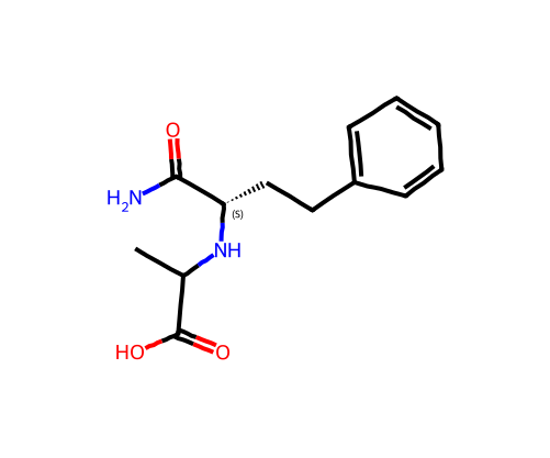 CC(N[C@@H](CCc1ccccc1)C(N)=O)C(=O)O